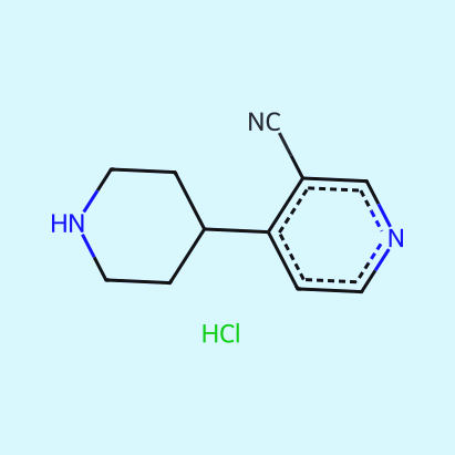 Cl.N#Cc1cnccc1C1CCNCC1